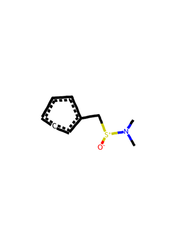 CN(C)[S+]([O-])Cc1ccccc1